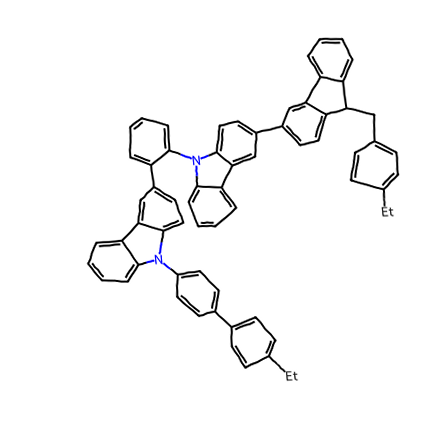 CCc1ccc(CC2c3ccccc3-c3cc(-c4ccc5c(c4)c4ccccc4n5-c4ccccc4-c4ccc5c(c4)c4ccccc4n5-c4ccc(-c5ccc(CC)cc5)cc4)ccc32)cc1